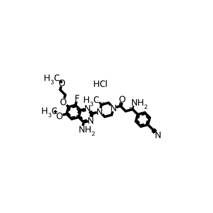 COCCOc1c(OC)cc2c(N)nc(N3CCN(C(=O)C[C@@H](N)c4ccc(C#N)cc4)C[C@@H]3C)nc2c1F.Cl